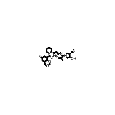 Cc1cn2nc([C@@H]3CCCCN3C(=O)c3cc(F)cc4c3OCOC4)cc2nc1N1C[C@@H](C#N)[C@@H](O)C1